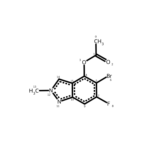 CC(=O)Oc1c(Br)c(F)cc2nn(C)cc12